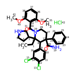 CCC1(C2CCNC2)C(c2ccc(Cl)c(Cl)c2)C(C(N)=O)(c2ccccc2)CCN1C(=O)c1c(OC)cccc1OC.Cl